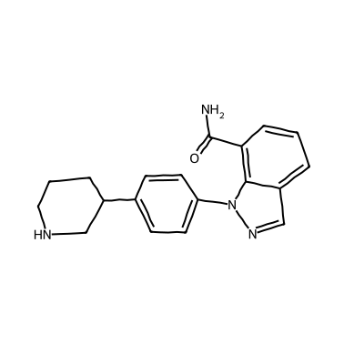 NC(=O)c1cccc2cnn(-c3ccc(C4CCCNC4)cc3)c12